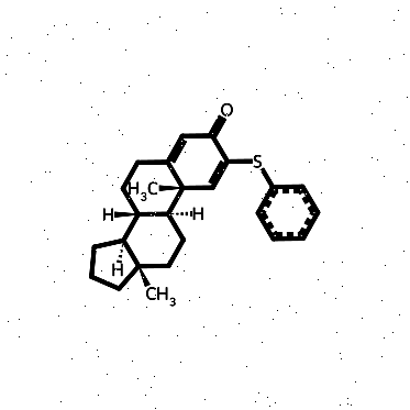 C[C@@]12CCC[C@H]1[C@@H]1CCC3=CC(=O)C(Sc4ccccc4)=C[C@]3(C)[C@H]1CC2